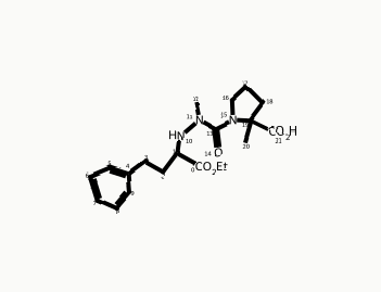 CCOC(=O)C(CCc1ccccc1)NN(C)C(=O)N1CCCC1(C)C(=O)O